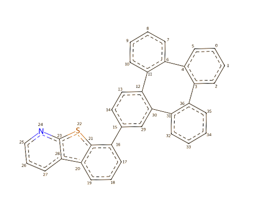 c1ccc2c(c1)-c1ccccc1-c1ccc(-c3cccc4c3sc3ncccc34)cc1-c1ccccc1-2